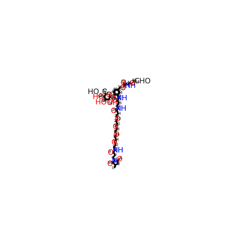 CC1CC(=O)N(CCC(=O)NCCOCCOCCOCCOCCC(=O)NCCC(=O)Nc2cc(COC(=O)NCOCC=O)ccc2O[C@@H]2O[C@H](C(=O)O)[C@@H](O)[C@H](O)[C@H]2O)C1=O